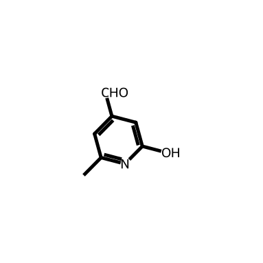 Cc1cc(C=O)cc(O)n1